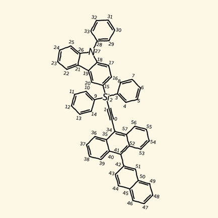 C(#C[Si](c1ccccc1)(c1ccccc1)c1ccc2c(c1)c1ccccc1n2-c1ccccc1)c1c2ccccc2c(-c2ccc3ccccc3c2)c2ccccc12